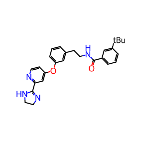 CC(C)(C)c1cccc(C(=O)NCCc2cccc(Oc3ccnc(C4=NCCN4)c3)c2)c1